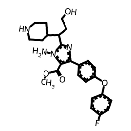 COC(=O)c1c(-c2ccc(Oc3ccc(F)cc3)cc2)nc(C(CCO)C2CCNCC2)n1N